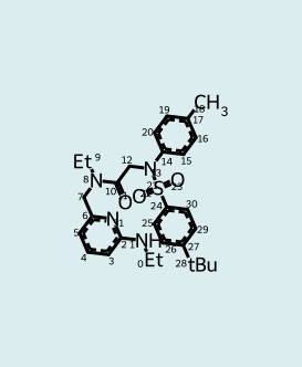 CCNc1cccc(CN(CC)C(=O)CN(c2ccc(C)cc2)S(=O)(=O)c2ccc(C(C)(C)C)cc2)n1